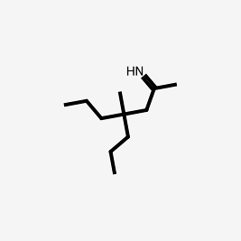 CCCC(C)(CCC)CC(C)=N